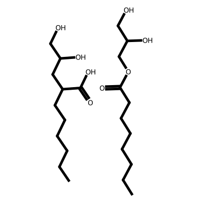 CCCCCCC(CC(O)CO)C(=O)O.CCCCCCCC(=O)OCC(O)CO